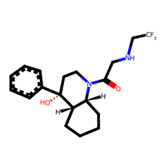 O=C(CNCC(F)(F)F)N1CC[C@](O)(c2ccccc2)[C@H]2CCCC[C@H]21